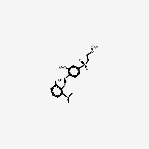 COc1cc(S(=O)(=O)CCOS(=O)(=O)O)ccc1/N=N/c1c(C(=O)O)cccc1N(C)C